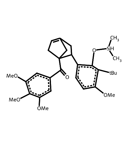 COc1cc(C(=O)C23CC=C(CC2c2ccc(OC)c(C(C)(C)C)c2O[SiH](C)C)C3)cc(OC)c1OC